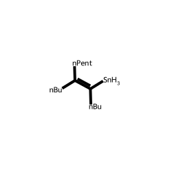 CCCCCC(CCCC)=[C]([SnH3])CCCC